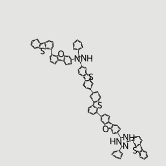 c1ccc(C2N=C(c3cccc4c3sc3ccccc34)NC(c3ccc4c(c3)oc3cc(-c5cccc6c5sc5ccc(-c7ccc8c(c7)sc7cc(C9NC(c%10ccccc%10)N9c9ccc%10c(c9)oc9c(-c%11cccc%12c%11sc%11ccccc%11%12)cccc9%10)ccc78)cc56)ccc34)N2)cc1